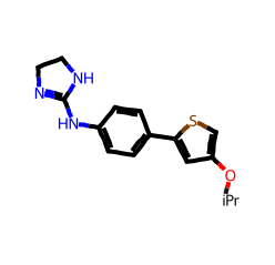 CC(C)Oc1csc(-c2ccc(NC3=NCCN3)cc2)c1